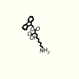 NCCCCCCCC(C(=O)O)C(=O)OCC1c2ccccc2-c2ccccc21